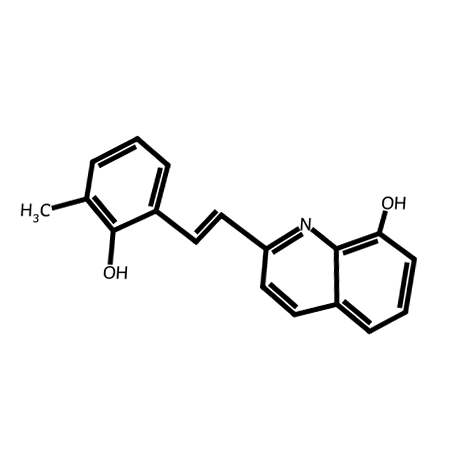 Cc1cccc(/C=C/c2ccc3cccc(O)c3n2)c1O